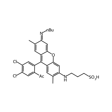 CCCC/N=c1\cc2oc3cc(NCCCS(=O)(=O)O)c(C)cc3c(-c3cc(Cl)c(Cl)cc3C(C)=O)c-2cc1C